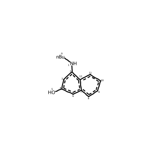 CCCCNc1cc(O)cc2ccccc12